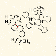 CC(C)(C)c1ccc(N(c2ccc3c(c2)N(c2ccccc2)c2cc(C(C)(C)C)cc4c2B3c2cc3ccccn3c2N4c2ccccc2)c2ccc(C(C)(C)C)cc2-c2ccccc2)cc1